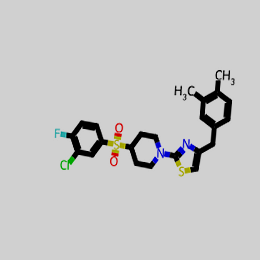 Cc1ccc(Cc2csc(N3CCC(S(=O)(=O)c4ccc(F)c(Cl)c4)CC3)n2)cc1C